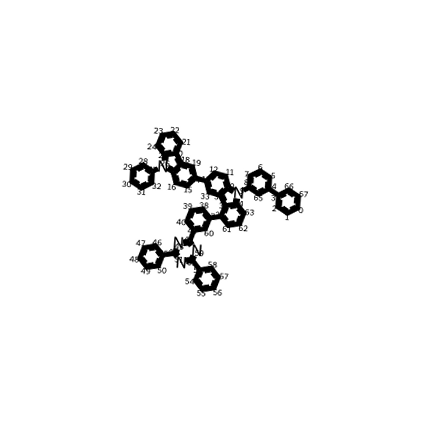 c1ccc(-c2cccc(-n3c4ccc(-c5ccc6c(c5)c5ccccc5n6-c5ccccc5)cc4c4c(-c5cccc(-c6nc(-c7ccccc7)nc(-c7ccccc7)n6)c5)cccc43)c2)cc1